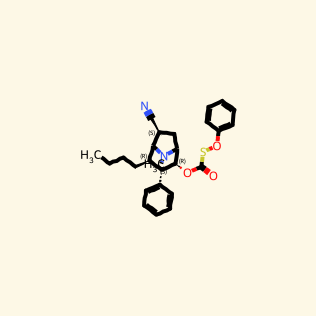 CCCC[C@H]1C2[C@@H](C#N)CC([C@H](OC(=O)SOc3ccccc3)[C@@H]1c1ccccc1)N2C